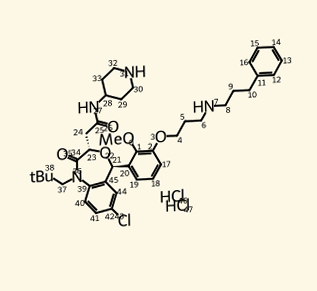 COc1c(OCCCNCCCc2ccccc2)cccc1[C@@H]1O[C@@H](CC(=O)NC2CCNCC2)C(=O)N(CC(C)(C)C)c2ccc(Cl)cc21.Cl.Cl